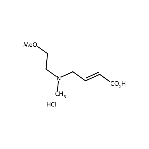 COCCN(C)CC=CC(=O)O.Cl